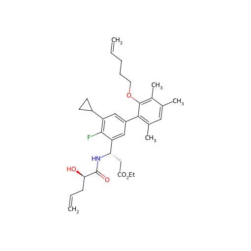 C=CCCCOc1c(C)c(C)cc(C)c1-c1cc(C2CC2)c(F)c([C@H](CC(=O)OCC)NC(=O)[C@H](O)CC=C)c1